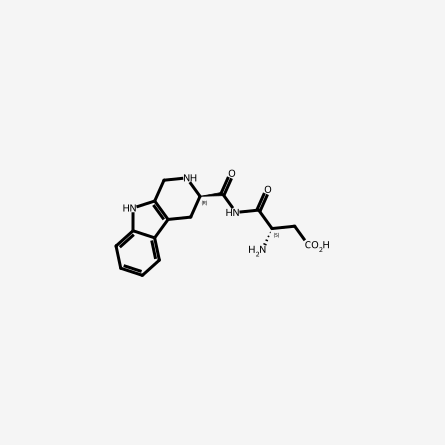 N[C@@H](CC(=O)O)C(=O)NC(=O)[C@H]1Cc2c([nH]c3ccccc23)CN1